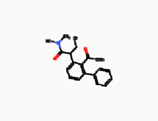 COC(=O)c1c(-c2ccccc2)cccc1C(CC(C)C)C(=O)N(C)C#N